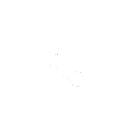 CN1CCC(Oc2ccccc2)C1